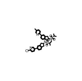 Cc1ccc(-c2ccc3c(c2)CC(N(CC(C)S(=O)(=O)NC2Cc4ccc(-c5ccc(Cl)nc5)cc4C2)S(=O)(=O)C(C)C)C3)nc1